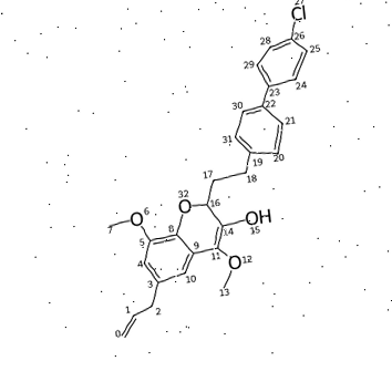 C=CCc1cc(OC)c2c(c1)C(OC)=C(O)C(CCc1ccc(-c3ccc(Cl)cc3)cc1)O2